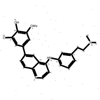 COc1cc(-c2ccc3nc[c]c(Nc4cccc(CCN(C)C)c4)c3c2)cc(Cl)c1O